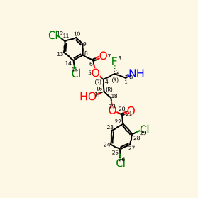 N=C[C@@H](F)[C@H](OC(=O)c1ccc(Cl)cc1Cl)[C@H](O)COC(=O)c1ccc(Cl)cc1Cl